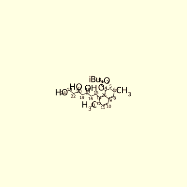 CCC(C)C(=O)OC1CC(C)C=C2C=CC(C)C(CCC(O)CC(O)CCO)C21